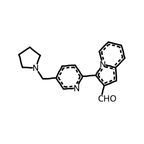 O=Cc1cc2ccccn2c1-c1ccc(CN2CCCC2)cn1